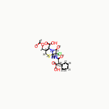 CC(=O)OCC1=C(C(=O)O)N2C(=O)C(Cl)(NC(=O)C(C(=O)O)c3ccccc3)[C@H]2SC1